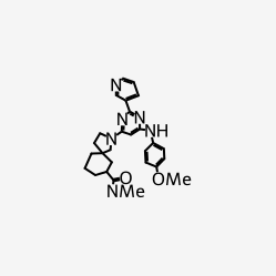 CNC(=O)C1CCCC2(CCN(c3cc(Nc4ccc(OC)cc4)nc(-c4cccnc4)n3)C2)C1